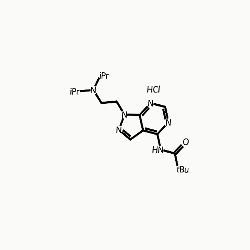 CC(C)N(CCn1ncc2c(NC(=O)C(C)(C)C)ncnc21)C(C)C.Cl